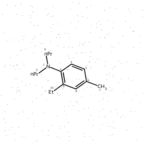 CCCN(CCC)c1ccc(C)cc1CC